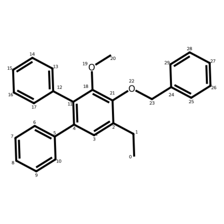 CCc1[c]c(-c2ccccc2)c(-c2ccccc2)c(OC)c1OCc1ccccc1